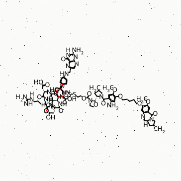 C=C1C[C@H]2C=Nc3cc(OCCCCCOc4cc(N)c(C(=O)N5CC(=C)C[C@H]5C5OCCN5C(=O)OCCSSC[C@H](NC(=O)[C@H](CC(=O)O)NC(=O)[C@H](CC(=O)O)NC(=O)[C@H](CCCNC(=N)N)NC(=O)[C@H](CC(=O)O)NC(=O)CC[C@H](NC(=O)c5ccc(NCc6cnc7nc(N)[nH]c(=O)c7n6)cc5)C(=O)O)C(=O)O)cc4OC)c(OC)cc3C(=O)N2C1